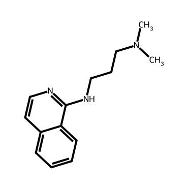 CN(C)CCCNc1nccc2ccccc12